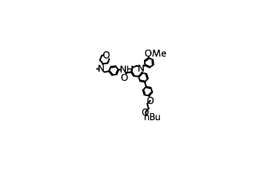 CCCCOCCOc1ccc(-c2ccc3c(c2)C=C(C(=O)Nc2ccc(CN(C)C4CCOCC4)cc2)CCN3c2cccc(OC)c2)cc1